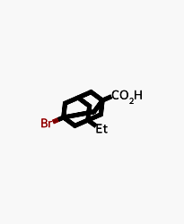 CCC12CC3CC(Br)(C1)CC(C(=O)O)(C3)C2